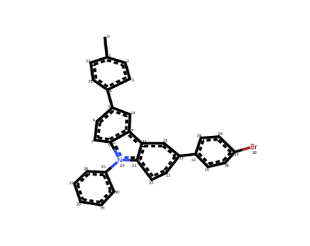 Cc1ccc(-c2ccc3c(c2)c2cc(-c4ccc(Br)cc4)ccc2n3-c2ccccc2)cc1